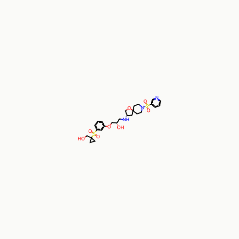 O=S(=O)(c1cccnc1)N1CCC2(CC1)C[C@H](NC[C@H](O)COc1cccc(S(=O)(=O)C3(CO)CC3)c1)CO2